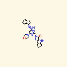 O=C(NCc1nc(NN=C2CCc3ccccc32)cc(N2CCOCC2)n1)c1cc2ccccc2[nH]1